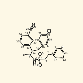 CC(NS(=O)(=O)CCc1ccccc1)C(Cc1ccc(Cl)cc1)c1cccc(C#N)c1